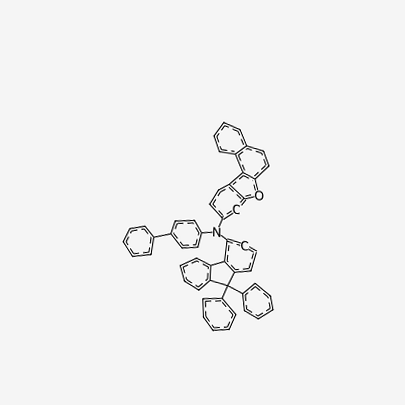 c1ccc(-c2ccc(N(c3ccc4c(c3)oc3ccc5ccccc5c34)c3cccc4c3-c3ccccc3C4(c3ccccc3)c3ccccc3)cc2)cc1